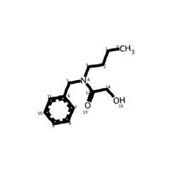 CCCCN(Cc1ccccc1)C(=O)CO